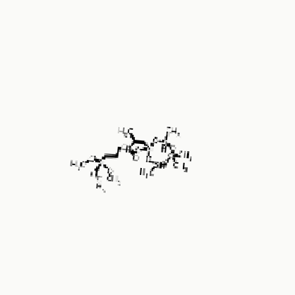 CO[Si](CC[CH2][Co](=[O])[CH](C)C[Si]1(C)O[SiH](C)O[Si](C)(C)O[SiH](C)O1)(OC)OC